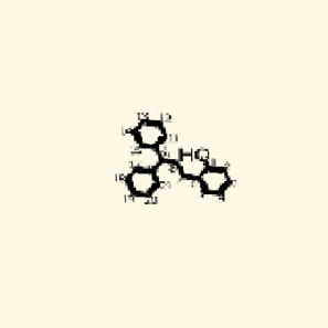 Oc1ccccc1CCC(c1ccccc1)c1ccccc1